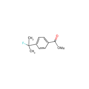 COC(=O)c1ccc(C(C)(C)F)cc1